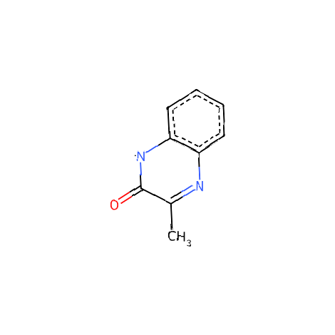 CC1=Nc2ccccc2[N]C1=O